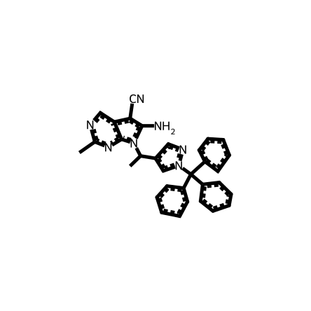 Cc1ncc2c(C#N)c(N)n(C(C)c3cnn(C(c4ccccc4)(c4ccccc4)c4ccccc4)c3)c2n1